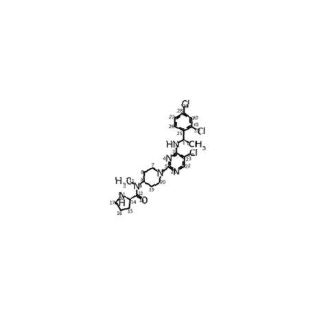 C[C@@H](Nc1nc(N2CCC(N(C)C(=O)[C@H]3CCCN3)CC2)ncc1Cl)c1ccc(Cl)cc1Cl